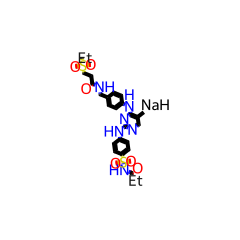 CCC(=O)NS(=O)(=O)c1ccc(Nc2ncc(C)c(Nc3ccc(CNC(=O)CCS(=O)(=O)CC)cc3)n2)cc1.[NaH]